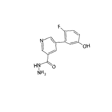 NNC(=O)c1cncc(-c2cc(O)ccc2F)c1